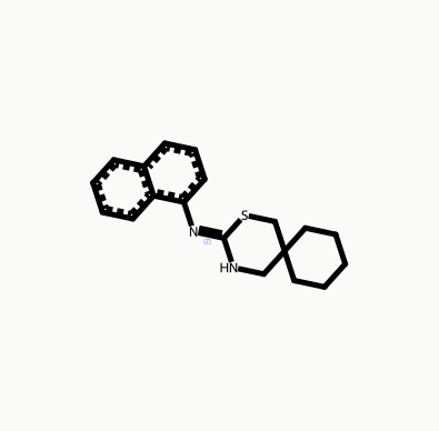 c1ccc2c(/N=C3/NCC4(CCCCC4)CS3)cccc2c1